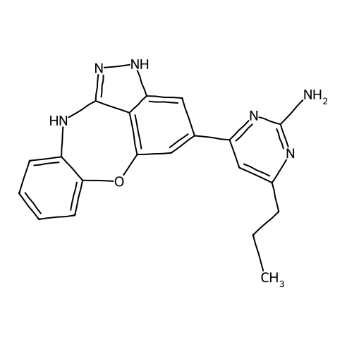 CCCc1cc(-c2cc3c4c(n[nH]c4c2)Nc2ccccc2O3)nc(N)n1